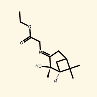 CCOC(=O)C/N=C1\CC2C[C@@H](C2(C)C)[C@]1(C)O